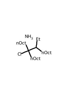 CCCCCCCCC(CC)C(Cl)(CCCCCCCC)CCCCCCCC.N